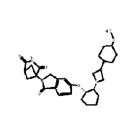 COC1CCC(C2CN([C@H]3CCCC[C@@H]3Oc3ccc4c(c3)CN(C35CC(C3)C(=O)NC5=O)C4=O)C2)CC1